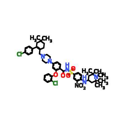 CN1C(C)(C)CC(Nc2ccc(S(=O)(=O)NC(=O)c3ccc(N4CCN(CC5=C(c6ccc(Cl)cc6)CC(C)(C)CC5)CC4)cc3Oc3ccccc3Cl)cc2[N+](=O)[O-])CC1(C)C